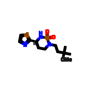 COC(C)(C)CCN1CC[C@@H](c2nccs2)NS1(=O)=O